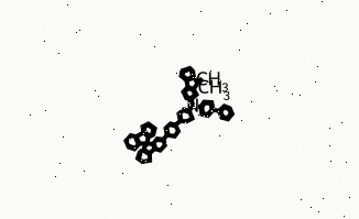 CC1(C)c2ccccc2-c2ccc(N(C3=CC=C(C4=CC=C(C5=CC6=C(CC5)C5=C(C=CCC5)C65C6=C(CCC=C6)c6ccccc65)CC4)CC3)c3ccc(-c4ccccc4)cc3)cc21